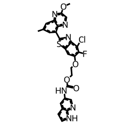 COc1cnc2c(-c3nc4c(Cl)c(F)c(OCCOC(=O)Nc5cnc6[nH]ccc6c5)cc4s3)cc(C)cc2n1